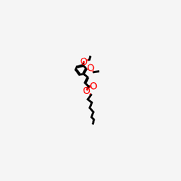 CCCCCCCCOC(=O)/C=C/c1cccc(OCC)c1OCC